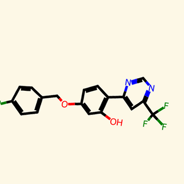 Oc1cc(OCc2ccc(Cl)cc2)ccc1-c1cc(C(F)(F)F)ncn1